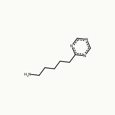 NCCCCCc1ncncn1